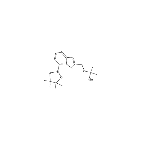 CC(C)(C)C(C)(C)OCc1cc2nccc(B3OC(C)(C)C(C)(C)O3)c2s1